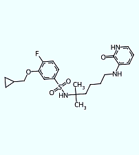 CC(C)(CCCCNc1ccc[nH]c1=O)NS(=O)(=O)c1ccc(F)c(OCC2CC2)c1